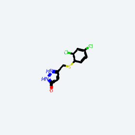 O=c1cc(CSC2C=CC(Cl)=CC2Cl)[nH][nH]1